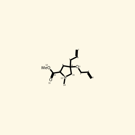 C=CCOC1(CC=C)CC(C(=O)OC)N(C)C1